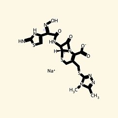 Cc1nnc(SCC2=C(C(=O)[O-])N3C(=O)C(NC(=O)/C(=N\O)c4csc(=N)[nH]4)[C@H]3SC2)n1C.[Na+]